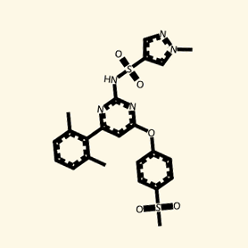 Cc1cccc(C)c1-c1cc(Oc2ccc(S(C)(=O)=O)cc2)nc(NS(=O)(=O)c2cnn(C)c2)n1